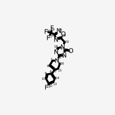 O=c1nc(N2CC=C(c3ccc(F)cc3)CC2)ncn1Cc1nc(C(F)(F)F)no1